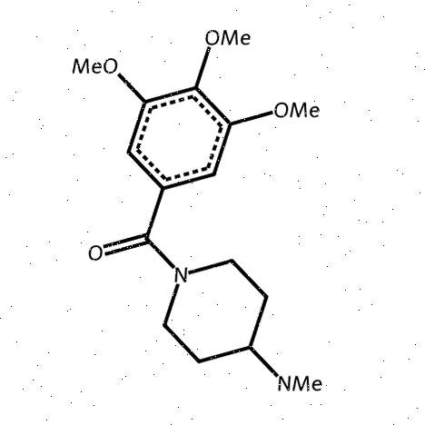 CNC1CCN(C(=O)c2cc(OC)c(OC)c(OC)c2)CC1